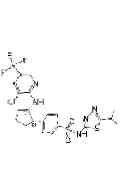 CC(C)c1nnc(NS(=O)(=O)c2ccc([C@@H]3CCC[C@@H]3NC3=NCC(C(F)(F)F)C=C3Cl)cc2)s1